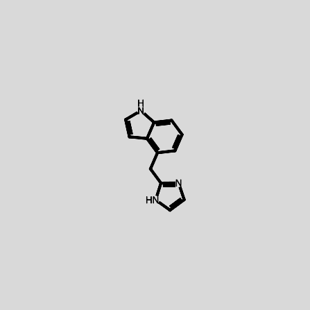 c1cc(Cc2ncc[nH]2)c2cc[nH]c2c1